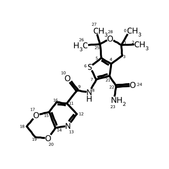 CC1(C)Cc2c(sc(NC(=O)c3cnc4c(c3)OCCO4)c2C(N)=O)C(C)(C)O1